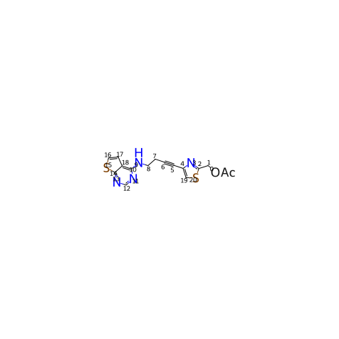 CC(=O)OCc1nc(C#CCCNc2ncnc3sccc23)cs1